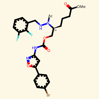 COC(=O)CCC[C@@H](COC(=O)Nc1cc(-c2ccc(Br)cc2)on1)N(NCc1cccc(F)c1F)C(C)=O